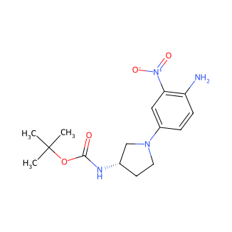 CC(C)(C)OC(=O)N[C@H]1CCN(c2ccc(N)c([N+](=O)[O-])c2)C1